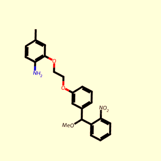 COC(c1cccc(OCCOc2cc(C)ccc2N)c1)c1ccccc1[N+](=O)[O-]